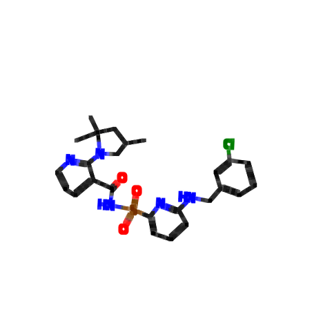 CC1CN(c2ncccc2C(=O)NS(=O)(=O)c2cccc(NCc3cccc(Cl)c3)n2)C(C)(C)C1